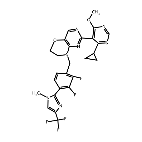 COc1ncnc(C2CC2)c1-c1ncc2c(n1)N(Cc1ccc(-c3nc(C(F)(F)F)cn3C)c(F)c1F)CCO2